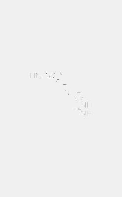 O=C(Nc1cccc(CN2CC=C(c3cccc(N4CCNCC4)n3)CC2)c1)NC1CCCCC1